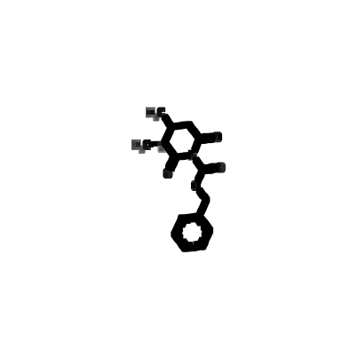 CC1CC(=O)N(C(=O)OCc2ccccc2)C(=O)[C@@H]1C